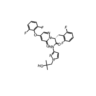 CC(C)(O)Cn1ccc(NC(=O)[C@@H](Cc2c(F)cccc2F)n2ncc(Oc3c(F)cccc3F)cc2=O)n1